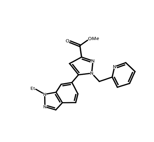 CCn1ncc2ccc(-c3cc(C(=O)OC)nn3Cc3ccccn3)cc21